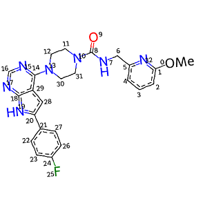 COc1cccc(CNC(=O)N2CCN(c3ncnc4[nH]c(-c5ccc(F)cc5)cc34)CC2)n1